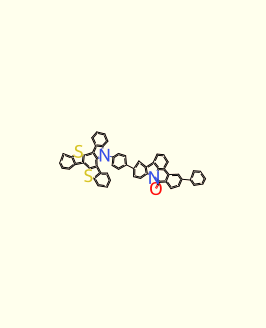 O=c1c2ccc(-c3ccccc3)cc2c2cccc3c4cc(-c5ccc(-n6c7ccccc7c7c8sc9ccccc9c8c8sc9ccccc9c8c76)cc5)ccc4n1c23